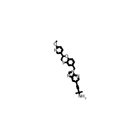 COc1ccc(C2CSc3cc(Cn4cnc5cc(C#CC(C)(C)N)cnc54)ccc3O2)cn1